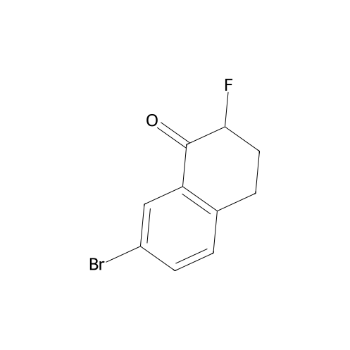 O=C1c2cc(Br)ccc2CCC1F